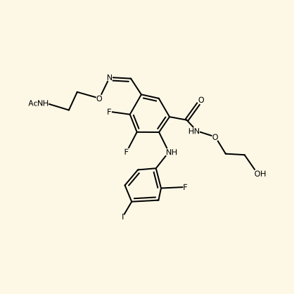 CC(=O)NCCO/N=C\c1cc(C(=O)NOCCO)c(Nc2ccc(I)cc2F)c(F)c1F